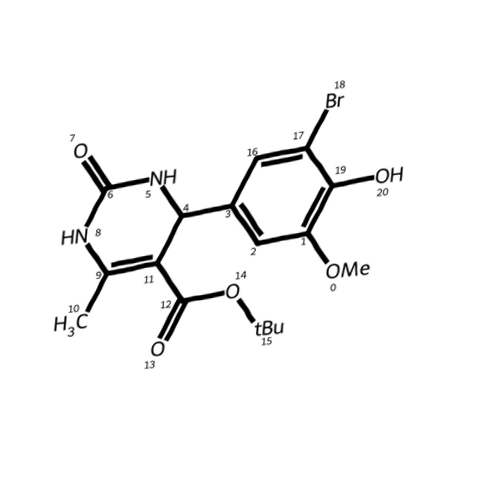 COc1cc(C2NC(=O)NC(C)=C2C(=O)OC(C)(C)C)cc(Br)c1O